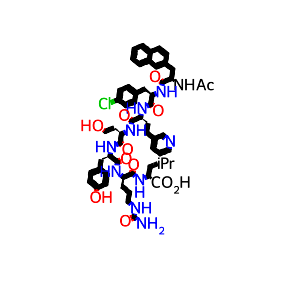 CC(=O)N[C@H](Cc1ccc2ccccc2c1)C(=O)N[C@H](Cc1ccc(Cl)cc1)C(=O)N[C@H](CCc1cccnc1)C(=O)N[C@@H](CCO)C(=O)N[C@@H](Cc1ccc(O)cc1)C(=O)N[C@H](CCCNC(N)=O)C(=O)N[C@@H](CC(C)C)C(=O)O